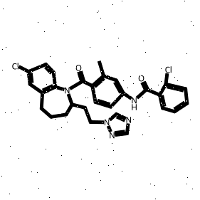 Cc1cc(NC(=O)c2ccccc2Cl)ccc1C(=O)N1c2ccc(Cl)cc2CCCC1CCn1cncn1